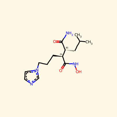 CC(C)C[C@@H](C(N)=O)[C@H](CCCn1ccnc1)C(=O)NO